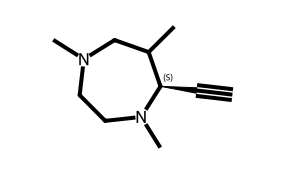 C#C[C@@H]1C(C)CN(C)CCN1C